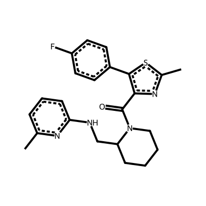 Cc1cccc(NCC2CCCCN2C(=O)c2nc(C)sc2-c2ccc(F)cc2)n1